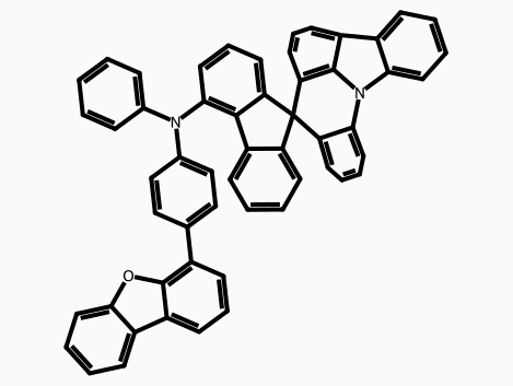 c1ccc(N(c2ccc(-c3cccc4c3oc3ccccc34)cc2)c2cccc3c2-c2ccccc2C32c3ccccc3-n3c4ccccc4c4cccc2c43)cc1